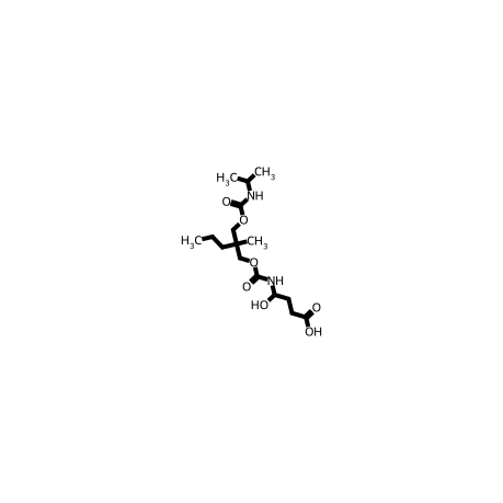 CCCC(C)(COC(=O)NC(C)C)COC(=O)NC(O)CCC(=O)O